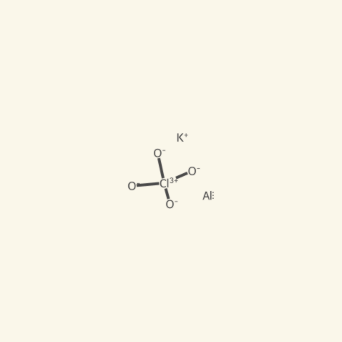 [Al].[K+].[O-][Cl+3]([O-])([O-])[O-]